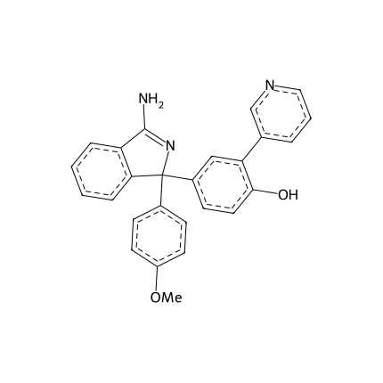 COc1ccc(C2(c3ccc(O)c(-c4cccnc4)c3)N=C(N)c3ccccc32)cc1